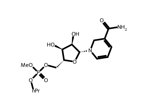 CCCOP(=O)(OC)OC[C@H]1O[C@@H](N2C=CC=C(C(N)=O)C2)[C@H](O)[C@@H]1O